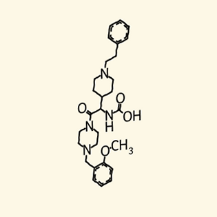 COc1ccccc1CN1CCN(C(=O)C(NC(=O)O)C2CCN(CCc3ccccc3)CC2)CC1